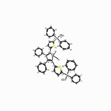 CC(C)(C)[Si](c1ccccc1)(c1ccccc1)c1ccc(C2=C(c3ccccc3)C(c3ccccc3)=C(c3ccc([Si](c4ccccc4)(c4ccccc4)C(C)(C)C)s3)[Si]2(C)C)s1